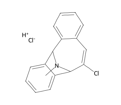 CN1C2C(Cl)=Cc3ccccc3C1c1ccccc12.[Cl-].[H+]